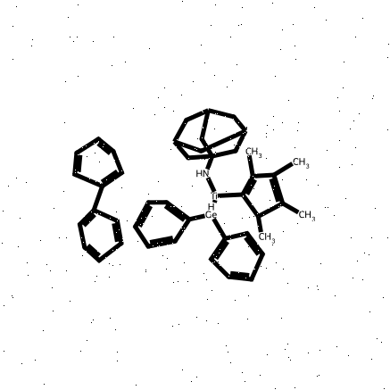 CC1=C(C)C(C)[C]([Ti]([NH]C23CC4CC(CC(C4)C2)C3)[GeH]([c]2ccccc2)[c]2ccccc2)=C1C.c1ccc(-c2ccccc2)cc1